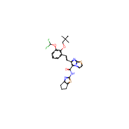 CC(C)(C)COc1c(C=Cc2nc3sccn3c2C(=O)Nc2nc3c(s2)CCC3)cccc1OC(F)F